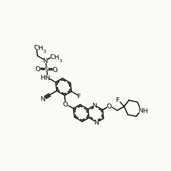 CCN(C)S(=O)(=O)Nc1ccc(F)c(Oc2ccc3ncc(OCC4(F)CCNCC4)nc3c2)c1C#N